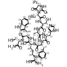 CCCC[C@@H](C(=O)N[C@@H](CS)C(=O)N[C@H](C)C(=O)N[C@@H](Cc1cnc[nH]1)C(=O)N[C@H](Cc1ccccc1)C(=O)N[C@@H](CCCNC(=N)N)C(=O)N[C@@H](Cc1c[nH]c2ccccc12)C(=O)N[C@@H](CS)C(N)=O)N1C(=O)N[C@@H](C(C)C)C1=O